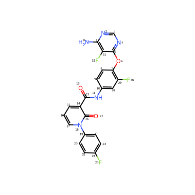 Nc1ncnc(Oc2ccc(NC(=O)c3cccn(-c4ccc(F)cc4)c3=O)cc2F)c1F